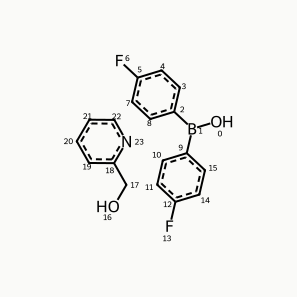 OB(c1ccc(F)cc1)c1ccc(F)cc1.OCc1ccccn1